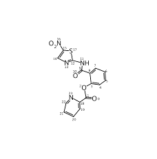 O=C(Oc1ccccc1C(=O)Nc1ncc([N+](=O)[O-])s1)c1ccccn1